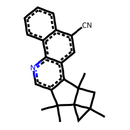 CC12CC3(C)c4c(cnc5c4cc(C#N)c4ccccc45)C(C)(C)C13C2